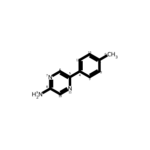 Cc1ccc(-c2cnc(N)cn2)cc1